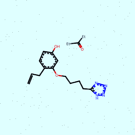 C=CCc1ccc(O)cc1OCCCCc1nnn[nH]1.CCC(=O)CC